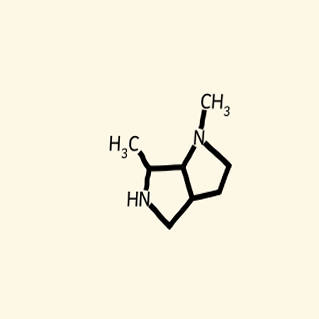 CC1NCC2CCN(C)C21